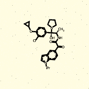 CC(C)n1ccc2cc(C(=O)C(=O)N[C@H](C)[C@](O)(c3ccc(OC4CC4)c(Cl)c3)N3CCCC3)ccc21